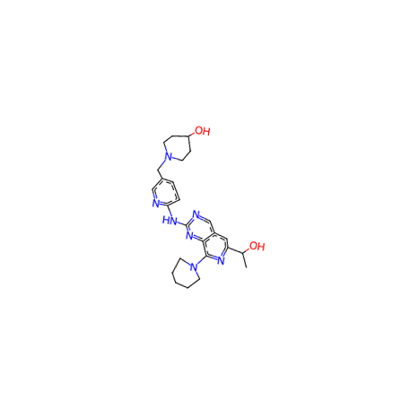 CC(O)c1cc2cnc(Nc3ccc(CN4CCC(O)CC4)cn3)nc2c(N2CCCCC2)n1